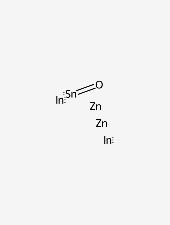 [In].[In].[O]=[Sn].[Zn].[Zn]